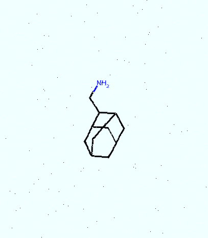 NCC1C2CC3CC(C2)CC1C3